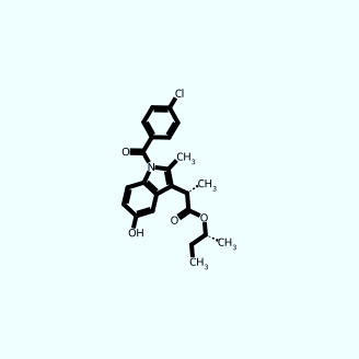 CC[C@@H](C)OC(=O)[C@@H](C)c1c(C)n(C(=O)c2ccc(Cl)cc2)c2ccc(O)cc12